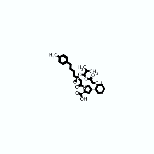 CCC(=O)OC(OP(=O)(CCCCc1ccc(C)cc1)CC(=O)N1C[C@H](C2CCCCC2)C[C@H]1C(=O)O)C(C)C